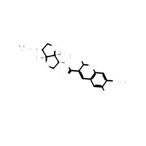 CO[C@@H]1CO[C@H]2[C@@H]1OC[C@@H]2OC(=O)C1=Cc2cc(Cl)c(C(C)(C)C)cc2OC1C(F)(F)F